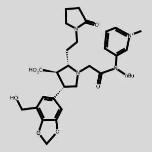 CCCCN(C(=O)CN1C[C@H](c2cc(CO)c3c(c2)OCO3)[C@@H](C(=O)O)[C@@H]1CCN1CCCC1=O)c1ccc[n+](C)c1